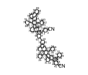 N#Cc1ccc(-n2c3cc(-c4ccc5c(c4)c4cccc6c7c(-c8ccccc8)c8c9cccc%10c9c(cc9c%10c%10ccc(C#N)cc%10n9-c9ccccc9)c8c(-c8ccccc8)c7cc5c46)ccc3c3c4cccc5c6c(-c7ccccc7)c7c(cc8c9ccccc9c9cccc7c98)c(-c7ccccc7)c6c(cc32)c54)cc1